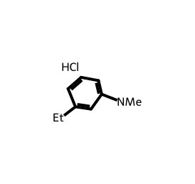 CCc1cccc(NC)c1.Cl